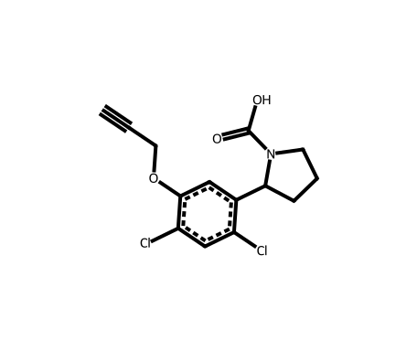 C#CCOc1cc(C2CCCN2C(=O)O)c(Cl)cc1Cl